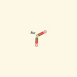 O=S=O.[Au]